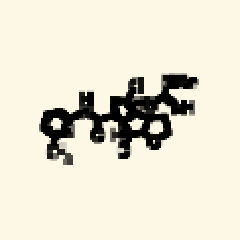 CNC(=N)N[C@@]1(c2sc(C(=O)Nc3cccc(C(F)(F)F)n3)cc2Cl)CCOC1[SH](=O)=O